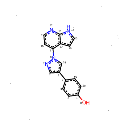 Oc1ccc(-c2cnn(-c3ccnc4[nH]ccc34)c2)cc1